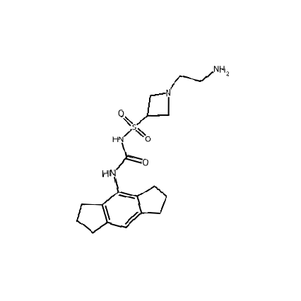 NCCN1CC(S(=O)(=O)NC(=O)Nc2c3c(cc4c2CCC4)CCC3)C1